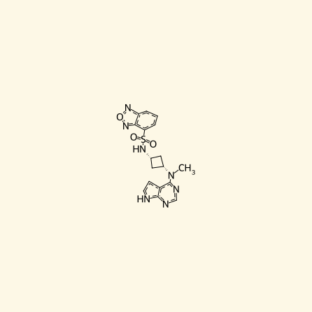 CN(c1ncnc2[nH]ccc12)[C@H]1C[C@@H](NS(=O)(=O)c2cccc3nonc23)C1